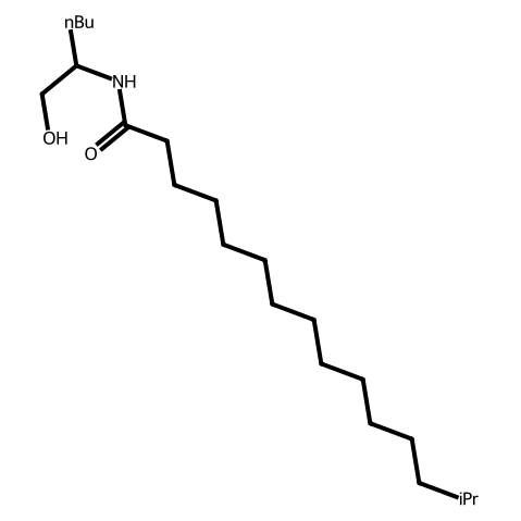 CCCCC(CO)NC(=O)CCCCCCCCCCCCC(C)C